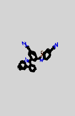 N#Cc1cc(-c2nc3ccc(C#N)cc3s2)cc(-c2nc3ccccc3c3ccccc23)c1